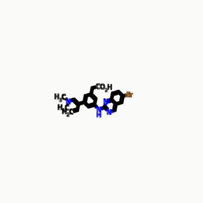 C=C/C(=C\N(C)C)c1cc(CC(=O)O)cc(Nc2ncc3cc(Br)ccc3n2)c1